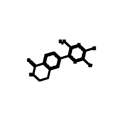 Nc1nc(Cl)c(Br)nc1-c1ccc2c(c1)CCNC2=O